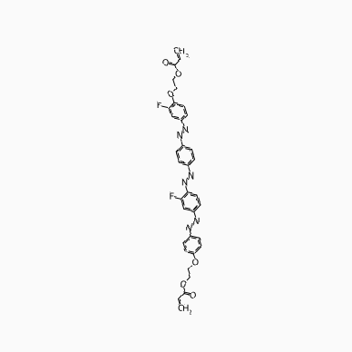 C=CC(=O)OCCOc1ccc(/N=N/c2ccc(/N=N/c3ccc(/N=N/c4ccc(OCCOC(=O)C=C)c(F)c4)cc3)c(F)c2)cc1